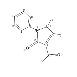 CC(=O)C1=C(C)N(C)[N+](c2ccccc2)C1=O